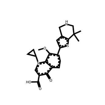 COc1c(-c2cc3c(s2)C(C)(C)CNC3)ccc2c(=O)c(C(=O)O)cn(C3CC3)c12